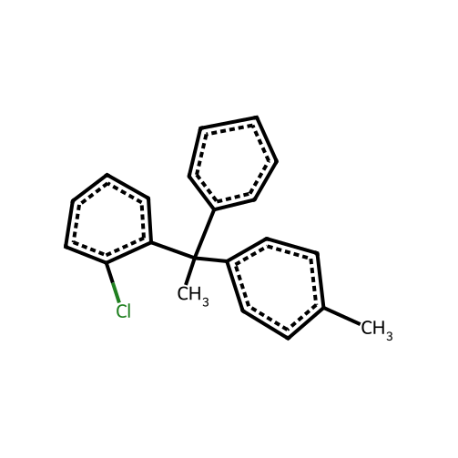 Cc1ccc(C(C)(c2ccccc2)c2ccccc2Cl)cc1